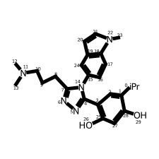 CC(C)c1cc(-c2nnc(CCCN(C)C)n2-c2ccc3c(ccn3C)c2)c(O)cc1O